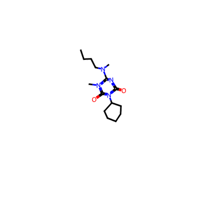 CCCCN(C)c1nc(=O)n(C2CCCCC2)c(=O)n1C